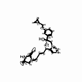 CC[C@@](O)(Cn1nncc1CCCCN1CC(=O)NC1=O)c1cccc(OCC2CC2)c1